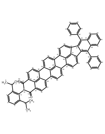 CC(C)c1cccc(C(C)C)c1N1C(=O)c2ccc3c4ccc5c6ccc7c8c(ccc(c9ccc(c%10ccc(c2c3%10)C1=O)c4c59)c86)-c1c-7c(-c2ccccc2)c2ccccc2c1-c1ccccc1